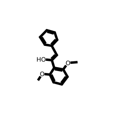 COc1cccc(OC)c1C(O)=Cc1ccccc1